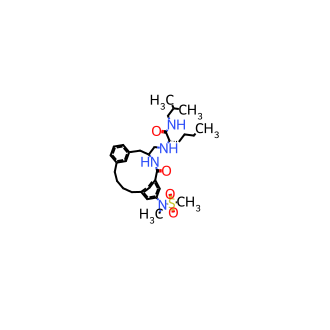 CCCC[C@H](NCC1Cc2cccc(c2)CCCCc2cc(cc(N(C)S(C)(=O)=O)c2)C(=O)N1)C(=O)NCC(C)C